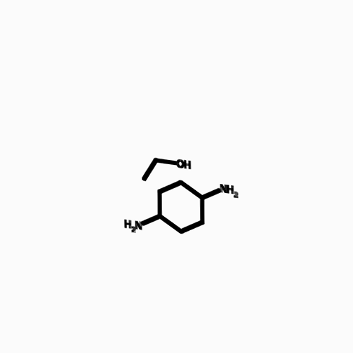 CCO.NC1CCC(N)CC1